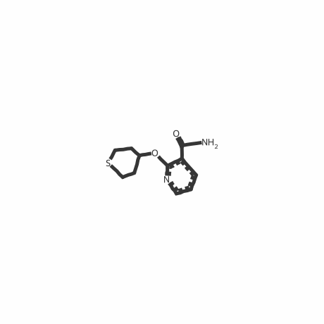 NC(=O)c1cccnc1OC1CCSCC1